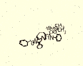 CC(C)(C)[Si](C)(C)Oc1ccccc1NC(=O)[C@@H]1CCC2CN1C(=O)N2OCc1ccccc1